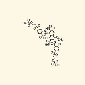 CNc1ccc2c(OC)c(/N=N/c3cc(S(=O)(=O)CCOS(=O)(=O)O)ccc3O)c(S(=O)(=O)O)cc2c1/N=N/c1cc(S(=O)(=O)CCOS(=O)(=O)O)ccc1S(=O)(=O)O